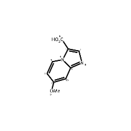 COc1ccn2c(C(=O)O)cnc2c1